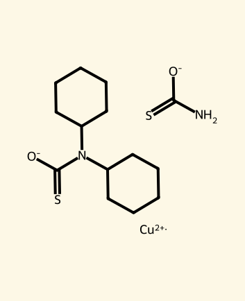 NC([O-])=S.[Cu+2].[O-]C(=S)N(C1CCCCC1)C1CCCCC1